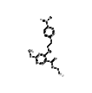 CCOC(=O)c1cnc(SC)nc1NCCc1ccc([N+](=O)[O-])cc1